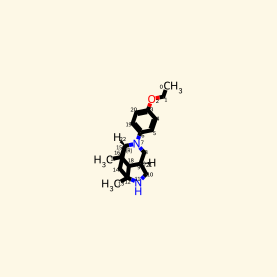 CCOc1ccc(N2C[C@H]3CNC4(C)C[C@@H]2C(C)C34)cc1